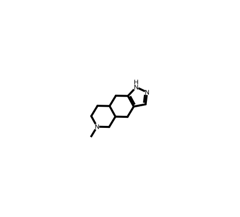 CN1CCC2Cc3[nH]ncc3CC2C1